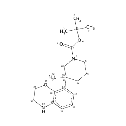 CC(C)(C)OC(=O)N1CCC[C@@](C)(c2cccc3c2OCCN3)C1